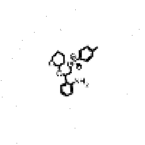 Cc1ccc(S(=O)(=O)OCC(OC2CCCCO2)c2ccccc2N)cc1